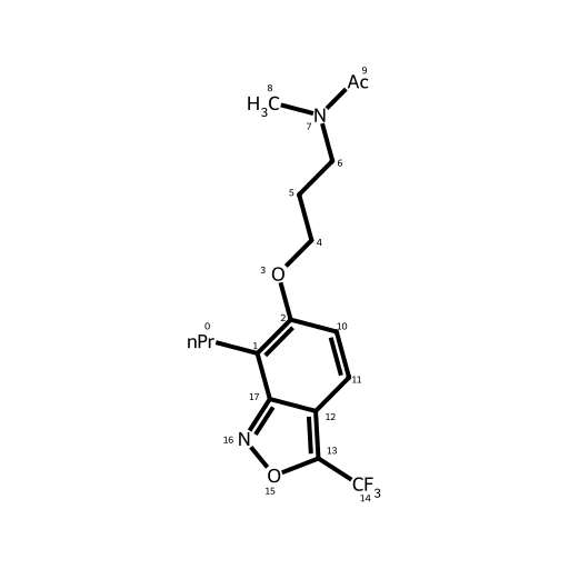 CCCc1c(OCCCN(C)C(C)=O)ccc2c(C(F)(F)F)onc12